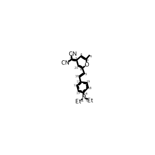 [C-]#[N+]/C(C#N)=C1/C=C(C)OC(/C=C/c2ccc(N(CC)CC)cc2)=C1